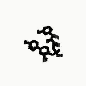 CCC1CC(c2ccc(F)cc2)CCN1CC(C)(O)CNC(=O)Nc1cccc(C(C)=O)c1